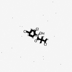 CC(Cl)C(C)(C)C(=O)N(O)c1ccc(Cl)cc1Cl